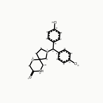 O=C1COC2(CCN(C(c3ccc(Cl)cc3)c3ccc(Cl)cc3)C2)CN1